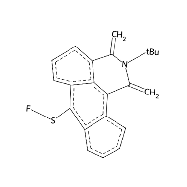 C=C1c2cccc3c(SF)c4ccccc4c(c23)C(=C)N1C(C)(C)C